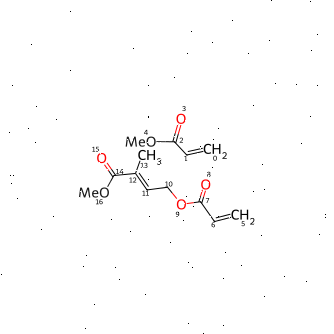 C=CC(=O)OC.C=CC(=O)OCC=C(C)C(=O)OC